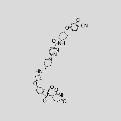 N#Cc1ccc(OC2CCC(NC(=O)c3ccc(N4CCC(CNC5CC(Oc6ccc7c(c6)C(=O)N([C@@H]6CCC(=O)NC6=O)C7=O)C5)CC4)nn3)CC2)cc1Cl